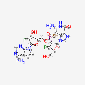 Nc1cc2c(ncn2[C@@H]2O[C@H](CO)[C@@H](F)[C@H]2P(=O)(S)OC[C@H]2O[C@@H](n3ccc4c(N)ncnc43)[C@@H](F)[C@@H]2O)c(=O)[nH]1